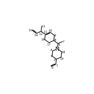 C=CC1CCN(C(C)C2CC=C(C(C)C=C)CC2)CC1